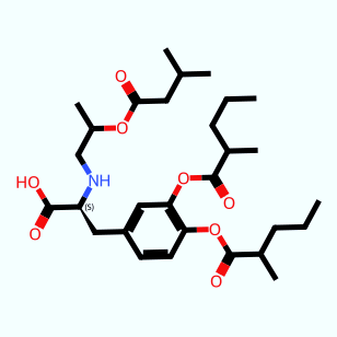 CCCC(C)C(=O)Oc1ccc(C[C@H](NCC(C)OC(=O)CC(C)C)C(=O)O)cc1OC(=O)C(C)CCC